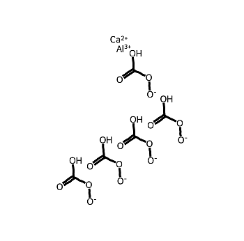 O=C(O)O[O-].O=C(O)O[O-].O=C(O)O[O-].O=C(O)O[O-].O=C(O)O[O-].[Al+3].[Ca+2]